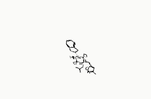 Cc1cc(CN2C(=O)[C@@H](C3Cc4ccccc4C3)NC(=O)[C@H]2CC(C)C)on1